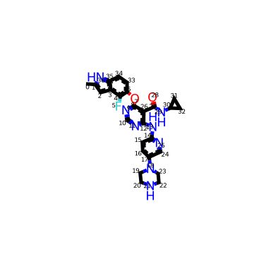 Cc1cc2c(F)c(Oc3ncnc(Nc4ccc(N5CCNCC5)cn4)c3C(=O)NC3CC3)ccc2[nH]1